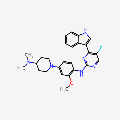 COc1cc(N2CCC(N(C)C)CC2)ccc1Nc1ncc(F)c(-c2c[nH]c3ccccc23)n1